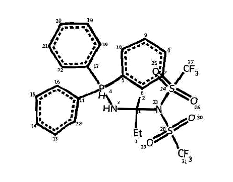 CCC(C)(N[PH](c1ccccc1)(c1ccccc1)c1ccccc1)N(S(=O)(=O)C(F)(F)F)S(=O)(=O)C(F)(F)F